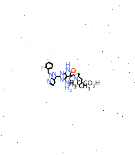 CC(C)(Cc1csc([C@]2(C)C(=O)Nc3nc(-c4nn(Cc5ccccc5F)c5ncccc45)nc(N)c32)n1)C(=O)O